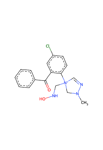 CN1C[N+](CNO)(c2ccc(Cl)cc2C(=O)c2ccccc2)C=N1